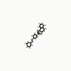 C(=C\c1ccc(-n2nc3ccc4ccccc4c3n2)cc1)/c1ccccc1